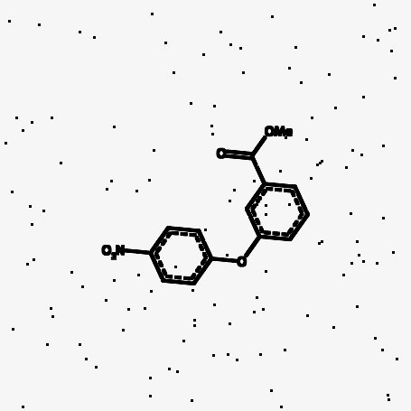 COC(=O)c1cccc(Oc2ccc([N+](=O)[O-])cc2)c1